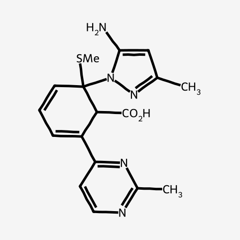 CSC1(n2nc(C)cc2N)C=CC=C(c2ccnc(C)n2)C1C(=O)O